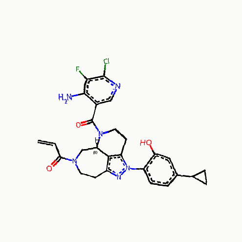 C=CC(=O)N1CCc2nn(-c3ccc(C4CC4)cc3O)c3c2[C@H](C1)N(C(=O)c1cnc(Cl)c(F)c1N)CC3